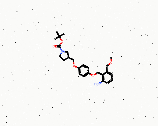 COCc1cccc(N)c1COc1ccc(OCC2CCN(C(=O)OC(C)(C)C)C2)cc1